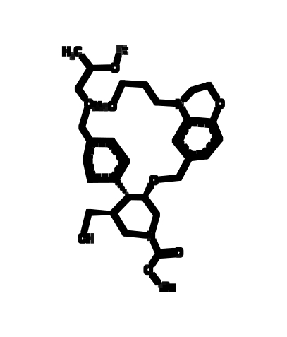 CCOC(C)COCc1ccc([C@H]2[C@H](CO)CN(C(=O)OC(C)(C)C)C[C@@H]2OCc2ccc3c(c2)N(CCCOC)CCO3)cc1